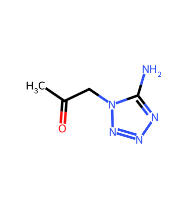 CC(=O)Cn1nnnc1N